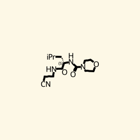 CC(C)C[C@H](NC(=O)N1CCOCC1)C(=O)NCCC#N